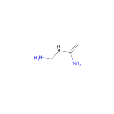 C=C(N)BCN